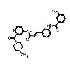 CN1CCN(C(=O)c2cc(NC(=O)/C=C/c3cccc(NC(=O)c4cccc(C(F)(F)F)c4)c3)ccn2)CC1